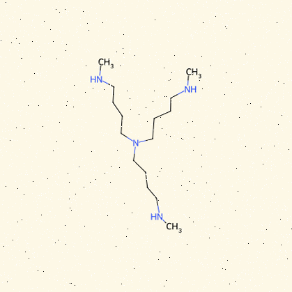 CNCCCCN(CCCCNC)CCCCNC